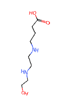 O=C(O)CCCNCCNCCO